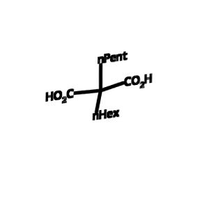 CCCCCCC(CCCCC)(C(=O)O)C(=O)O